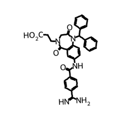 N=C(N)c1ccc(C(=O)Nc2ccc3c(c2)C(=O)N(CCC(=O)O)CC(=O)N3C(c2ccccc2)c2ccccc2)cc1